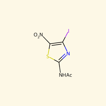 CC(=O)Nc1nc(I)c([N+](=O)[O-])s1